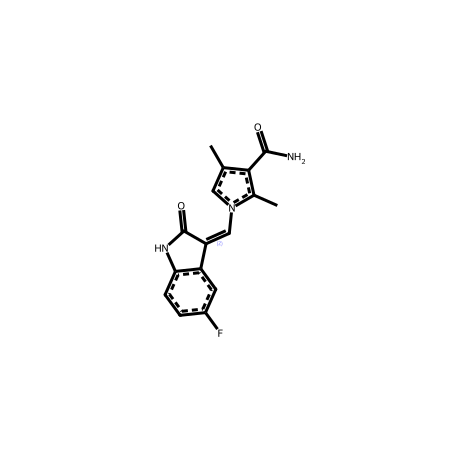 Cc1cn(/C=C2\C(=O)Nc3ccc(F)cc32)c(C)c1C(N)=O